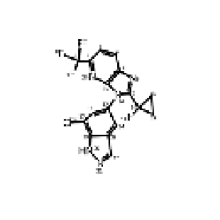 FC(F)(F)c1ccc2nc(C3(F)CC3)n(-c3cc(Cl)c4[nH]ncc4c3)c2n1